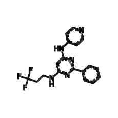 FC(F)(F)CCNc1cc(Nc2ccncc2)nc(-c2ccccc2)n1